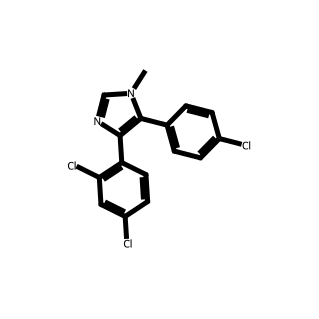 Cn1cnc(-c2ccc(Cl)cc2Cl)c1-c1ccc(Cl)cc1